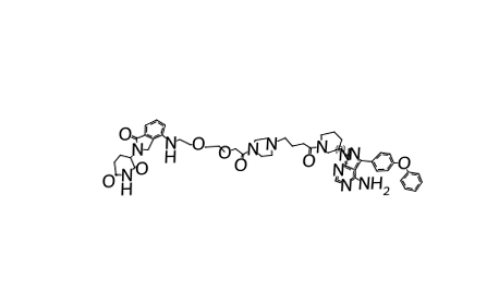 Nc1ncnc2c1c(-c1ccc(Oc3ccccc3)cc1)nn2[C@@H]1CCCN(C(=O)CCCN2CCN(C(=O)COCCOCCNc3cccc4c3CN(C3CCC(=O)NC3=O)C4=O)CC2)C1